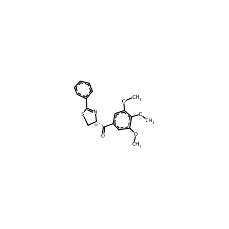 COc1cc(C(=O)[C@@H]2CSC(c3ccccc3)=N2)cc(OC)c1OC